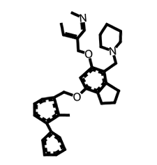 C/C=C(\C=N/C)COc1cc(OCc2cccc(-c3ccccc3)c2C)c2c(c1CN1CCCCC1)CCC2